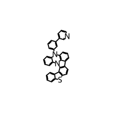 c1cncc(-c2cccc(N3c4ccccc4-n4c5c3cccc5c3ccc5sc6ccccc6c5c34)c2)c1